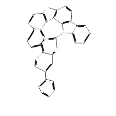 c1ccc(-c2ccc3cnc(-n4c5ccccc5c5ccc6oc7ccc8ccccc8c7c6c54)nc3c2)cc1